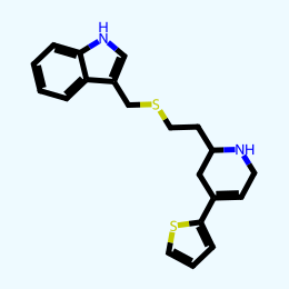 C1=C(c2cccs2)CC(CCSCc2c[nH]c3ccccc23)NC1